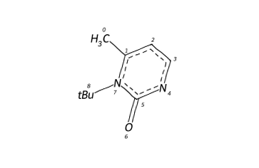 Cc1ccnc(=O)n1C(C)(C)C